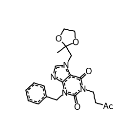 CC(=O)CCn1c(=O)c2c(ncn2CC2(C)OCCO2)n(Cc2ccccc2)c1=O